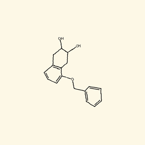 OC1Cc2cccc(OCc3ccccc3)c2CC1O